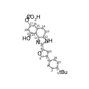 CC(C)(C)c1ccc(-c2coc(-c3nc4c(ccc5cc(OC(=O)O)cc(O)c54)[nH]3)c2)cc1